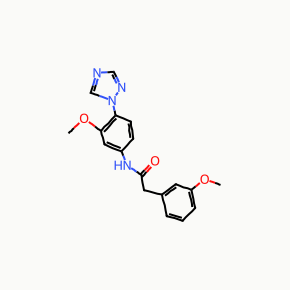 COc1cccc(CC(=O)Nc2ccc(-n3cncn3)c(OC)c2)c1